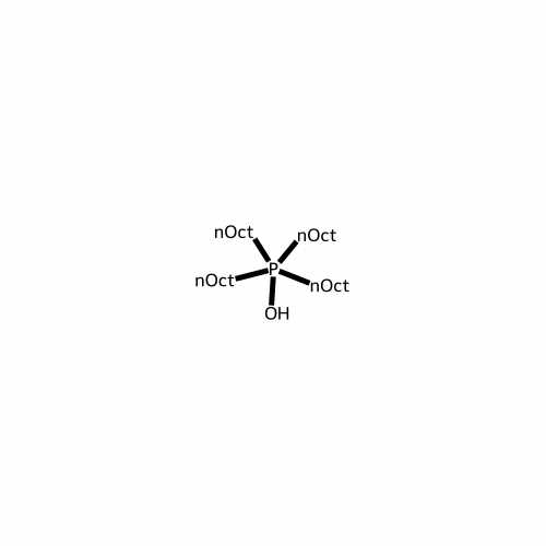 CCCCCCCCP(O)(CCCCCCCC)(CCCCCCCC)CCCCCCCC